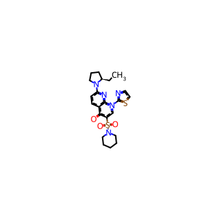 CC[C@@H]1CCCN1c1ccc2c(=O)c(S(=O)(=O)N3CCCCC3)cn(-c3nccs3)c2n1